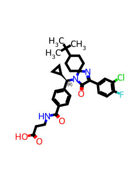 CC(C)(C)C1CCC2(CC1)N=C(c1ccc(F)c(Cl)c1)C(=O)N2[C@@H](c1ccc(C(=O)NCCC(=O)O)cc1)C1CC1